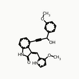 COc1cccc(C(O)C#Cc2cccc3c2C(=Cc2[nH]ccc2OC)C(=O)N3)c1